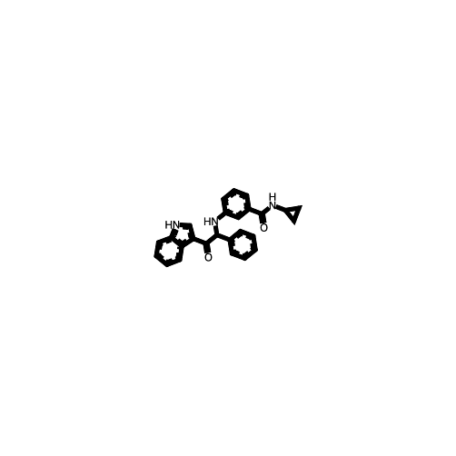 O=C(NC1CC1)c1cccc(NC(C(=O)c2c[nH]c3ccccc23)c2ccccc2)c1